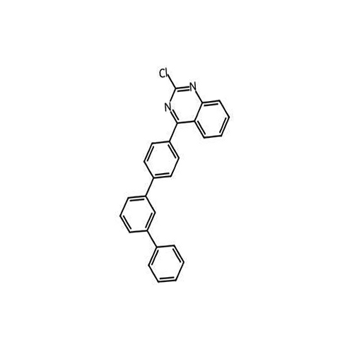 Clc1nc(-c2ccc(-c3cccc(-c4ccccc4)c3)cc2)c2ccccc2n1